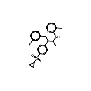 Cc1cccnc1NC(C)C(Cc1cccc(F)c1)c1ccc(S(=O)(=O)C2CC2)cc1